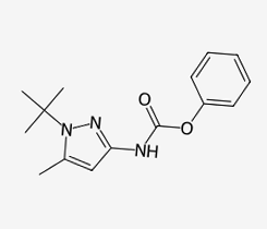 Cc1cc(NC(=O)Oc2ccccc2)nn1C(C)(C)C